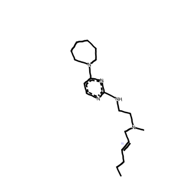 CCC/C=C/CN(C)CCNc1nccc(N2CCCCCC2)n1